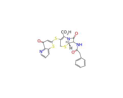 O=C(Cc1ccccc1)NC1C(=O)N2C(C(=O)O)=C(Sc3cc(=O)c4ncccc4s3)CS[C@@H]12